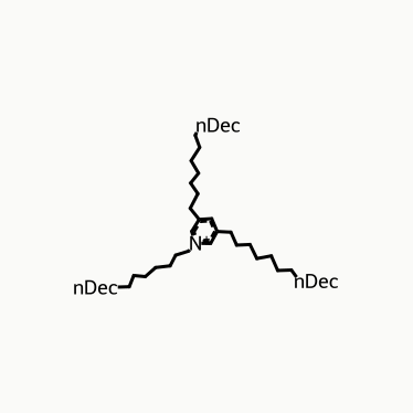 CCCCCCCCCCCCCCCCCc1cc(CCCCCCCCCCCCCCCCC)c[n+](CCCCCCCCCCCCCCCCC)c1